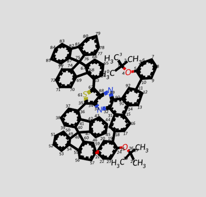 CC(C)(C)Oc1ccccc1-c1ccc2c3ccc(-c4ccccc4OC(C)(C)C)cc3c3nc4c(-c5cccc6c5-c5ccccc5C65c6ccccc6-c6ccccc65)sc(-c5cccc6c5-c5ccccc5C65c6ccccc6-c6ccccc65)c4nc3c2c1